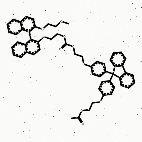 COCCOc1ccc2ccccc2c1-c1c(OCCOC(=O)OCCOc2ccc(C3(c4ccc(OCCOC(C)=O)cc4)c4ccccc4-c4ccccc43)cc2)ccc2ccccc12